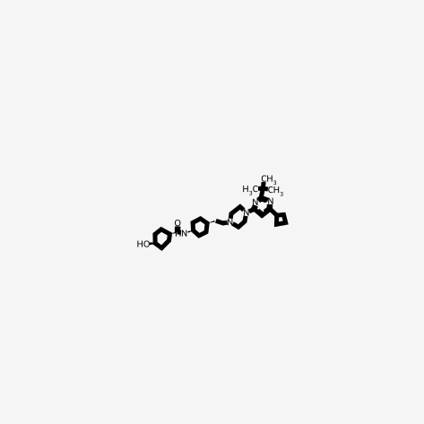 CC(C)(C)c1nc(C2CCC2)cc(N2CCN(CC[C@H]3CC[C@@H](NC(=O)[C@H]4CC[C@H](O)CC4)CC3)CC2)n1